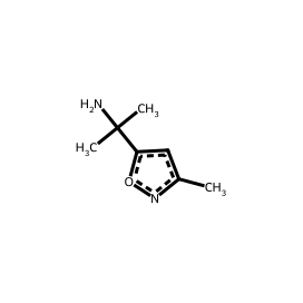 Cc1cc(C(C)(C)N)on1